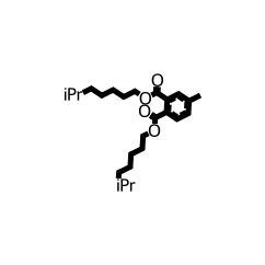 Cc1ccc(C(=O)OCCCCCC(C)C)c(C(=O)OCCCCCC(C)C)c1